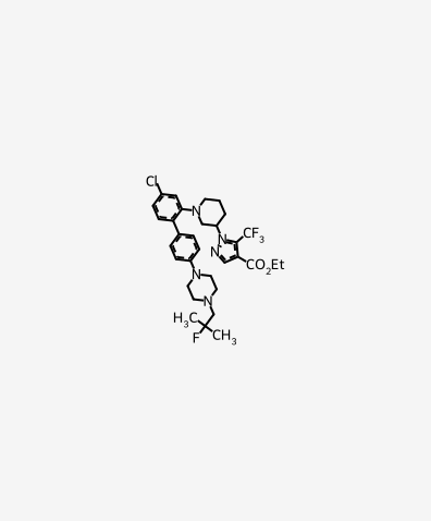 CCOC(=O)c1cnn(C2CCCN(c3cc(Cl)ccc3-c3ccc(N4CCN(CC(C)(C)F)CC4)cc3)C2)c1C(F)(F)F